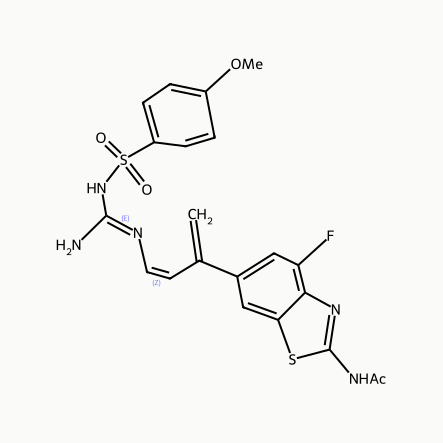 C=C(/C=C\N=C(/N)NS(=O)(=O)c1ccc(OC)cc1)c1cc(F)c2nc(NC(C)=O)sc2c1